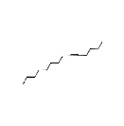 [CH2]CCCCCCCC#CCCCC